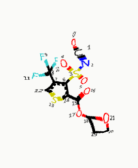 O=C=NS(=O)(=O)c1c(C(F)(F)F)csc1C(=O)OC1CCO1